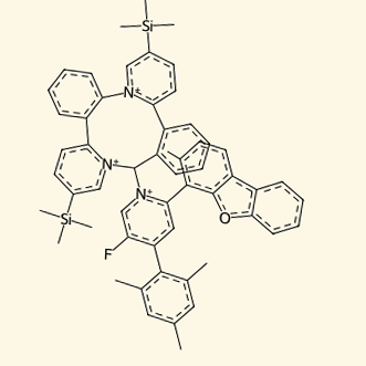 Cc1cc(C)c(-c2cc(-c3c(C)ccc4c3oc3ccccc34)[n+](C3c4ccccc4-c4ccc([Si](C)(C)C)c[n+]4-c4ccccc4-c4ccc([Si](C)(C)C)c[n+]43)cc2F)c(C)c1